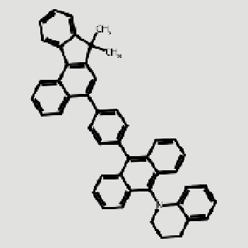 CC1(C)c2ccccc2-c2c1cc(-c1ccc(-c3c4ccccc4c(N4CCCc5ccccc54)c4ccccc34)cc1)c1ccccc21